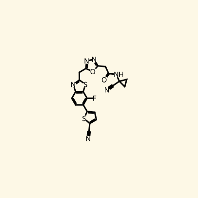 N#Cc1ccc(-c2ccc3nc(Cc4nnc(CC(=O)NC5(C#N)CC5)o4)sc3c2F)s1